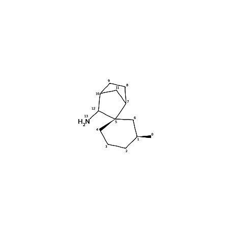 C[C@H]1CCC[C@]2(C1)C1CCC(C1)C2N